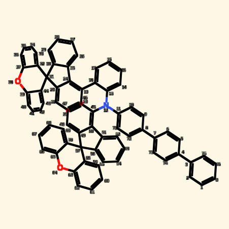 c1ccc(-c2ccc(-c3ccc(N(c4ccccc4-c4cccc5c4-c4ccccc4C54c5ccccc5Oc5ccccc54)c4cccc5c4-c4ccccc4C54c5ccccc5Oc5ccccc54)cc3)cc2)cc1